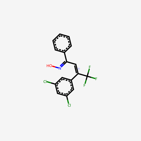 ON=C(/C=C(\c1cc(Cl)cc(Cl)c1)C(F)(F)F)c1ccccc1